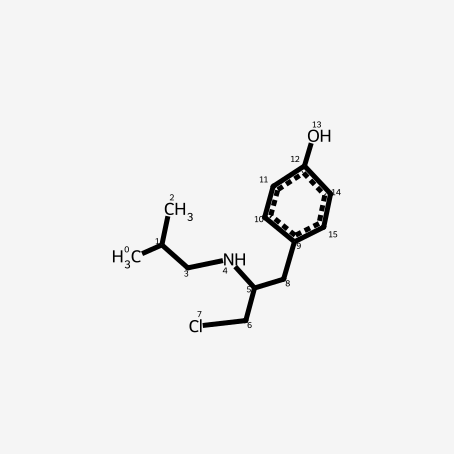 CC(C)CNC(CCl)Cc1ccc(O)cc1